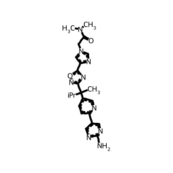 CC(C)C(C)(c1ccc(-c2cnc(N)nc2)nc1)c1noc(-c2cn(CC(=O)N(C)C)cn2)n1